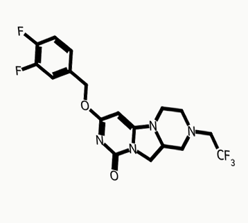 O=c1nc(OCc2ccc(F)c(F)c2)cc2n1CC1CN(CC(F)(F)F)CCN21